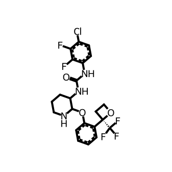 O=C(Nc1ccc(Cl)c(F)c1F)NC1CCCNC1Oc1ccccc1[C@@]1(C(F)(F)F)CCO1